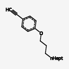 C#Cc1ccc(OCCCCCCCCCC)cc1